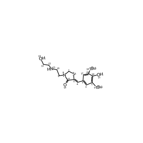 CC(C)(C)c1cc(/C=C2\SCN(CCNCCO)C2=O)cc(C(C)(C)C)c1O